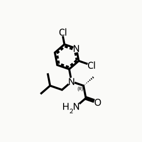 CC(C)CN(c1ccc(Cl)nc1Cl)[C@H](C)C(N)=O